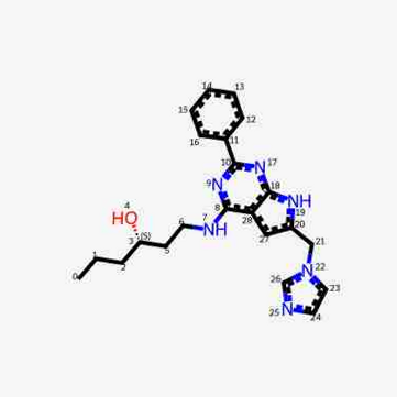 CCC[C@H](O)CCNc1nc(-c2ccccc2)nc2[nH]c(Cn3ccnc3)cc12